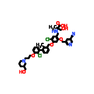 Cc1c(COc2cc(OCc3cncc(C#N)c3)c(CNC(C)(CO)C(=O)O)cc2Cl)cccc1-c1cccc(OCCCN2CCCC(CO)C2)c1Cl